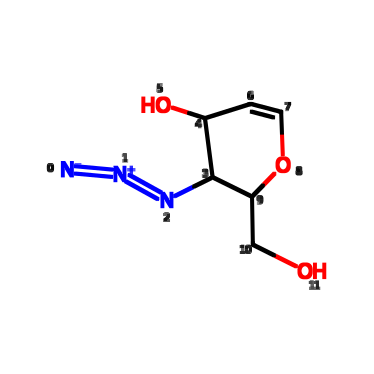 [N-]=[N+]=NC1C(O)C=COC1CO